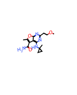 COCCc1nc(NC2(C)CC2)c2c(C(N)=O)c(C)oc2n1